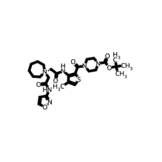 Cc1csc(C(=O)N2CCN(C(=O)OC(C)(C)C)CC2)c1NC(=O)C[N+]1(CC(=O)Nc2ccon2)CCCCCC1